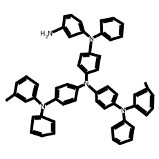 Cc1cccc(N(c2ccccc2)c2ccc(N(c3ccc(N(c4ccccc4)c4cccc(C)c4)cc3)c3ccc(N(c4ccccc4)c4cccc(N)c4)cc3)cc2)c1